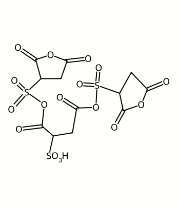 O=C1CC(S(=O)(=O)OC(=O)CC(C(=O)OS(=O)(=O)C2CC(=O)OC2=O)S(=O)(=O)O)C(=O)O1